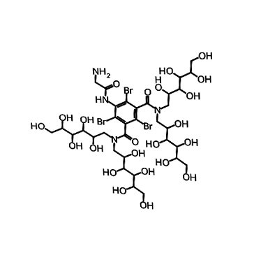 NCC(=O)Nc1c(Br)c(C(=O)N(CC(O)C(O)C(O)C(O)CO)CC(O)C(O)C(O)C(O)CO)c(Br)c(C(=O)N(CC(O)C(O)C(O)C(O)CO)CC(O)C(O)C(O)C(O)CO)c1Br